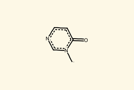 [CH2]n1cnccc1=O